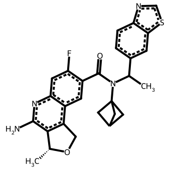 CC(c1ccc2ncsc2c1)N(C(=O)c1cc2c3c(c(N)nc2cc1F)[C@@H](C)OC3)C12CC(C1)C2